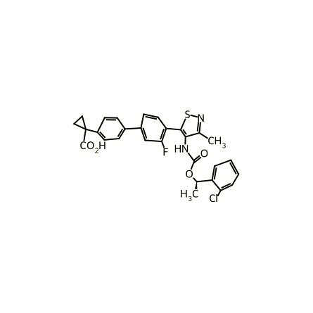 Cc1nsc(-c2ccc(-c3ccc(C4(C(=O)O)CC4)cc3)cc2F)c1NC(=O)O[C@H](C)c1ccccc1Cl